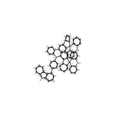 c1ccc2c(c1)Oc1ccccc1C21c2ccccc2-c2cc(-c3ccccc3N(c3ccc(-c4cccc5sc6ccccc6c45)cc3)c3cccc4c3-c3ccccc3C43c4ccccc4Oc4ccccc43)ccc21